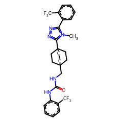 Cn1c(-c2ccccc2C(F)(F)F)nnc1C12CCC(CNC(=O)Nc3ccccc3C(F)(F)F)(CC1)CC2